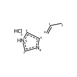 C=CC.Cl.c1c[nH]cn1